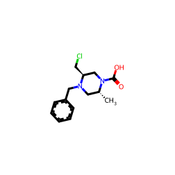 C[C@@H]1CN(Cc2ccccc2)[C@@H](CCl)CN1C(=O)O